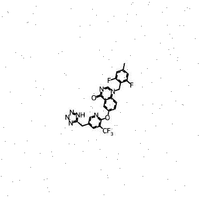 Cc1cc(F)c(Cn2cnc(=O)c3cc(Oc4ncc(Cc5nnn[nH]5)cc4C(F)(F)F)ccc32)c(F)c1